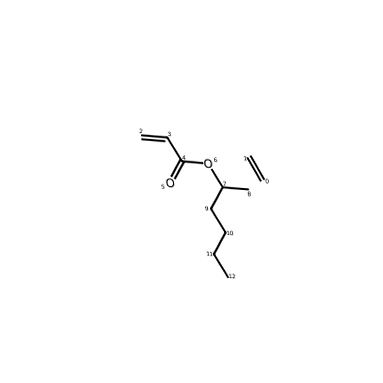 C=C.C=CC(=O)OC(C)CCCC